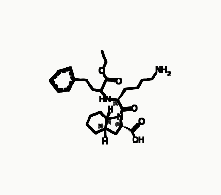 CCOC(=O)C(CCc1ccccc1)N[C@@H](CCCCN)C(=O)N1[C@H](C(=O)O)C[C@@H]2CCCC[C@@H]21